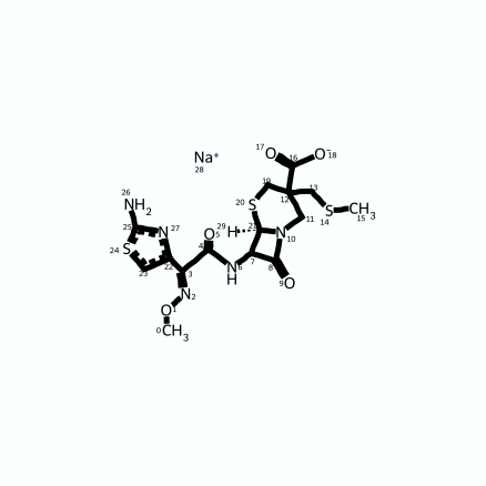 CON=C(C(=O)NC1C(=O)N2CC(CSC)(C(=O)[O-])CS[C@H]12)c1csc(N)n1.[Na+]